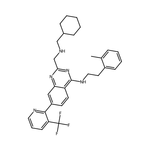 Cc1ccccc1CCNc1nc(CNCC2CCCCC2)nc2cc(-c3ncccc3C(F)(F)F)ccc12